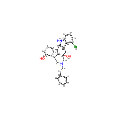 Oc1cccc([C@@]23CCN(CCc4ccccc4)C[C@@]2(O)Cc2c([nH]c4cccc(Br)c24)C3)c1